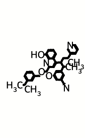 CC(C)c1cccc(COC(=O)c2cc(C(CC(C)c3cccnc3)C(C)c3cccc(C#N)c3)c3cccc(O)c3n2)c1